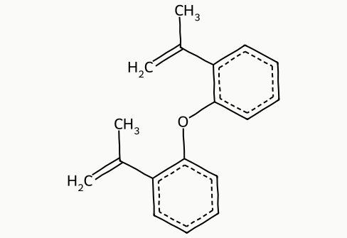 C=C(C)c1ccccc1Oc1ccccc1C(=C)C